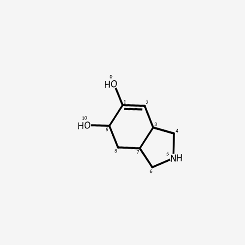 OC1=CC2CNCC2CC1O